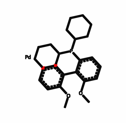 COc1ccccc1-c1c(OC)cccc1P(C1CCCCC1)C1CCCCC1.[Pd]